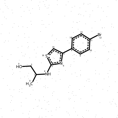 CC(CO)Nc1nc(-c2ccc(Br)cc2)cs1